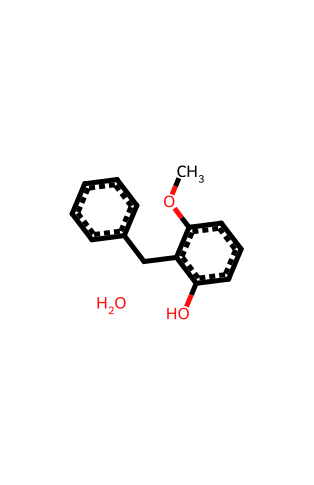 COc1cccc(O)c1Cc1ccccc1.O